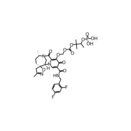 CC1=NO[C@@]2(CC[C@H](C)N3C[C@H]2n2cc(C(=O)NCc4ccc(F)cc4F)c(=O)c(OCOC(=O)OC(C)(C)C(C)OP(=O)(O)O)c2C3=O)C1